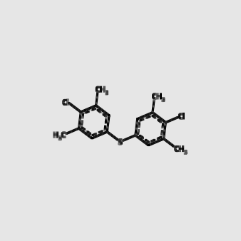 Cc1cc(Sc2cc(C)c(Cl)c(C)c2)cc(C)c1Cl